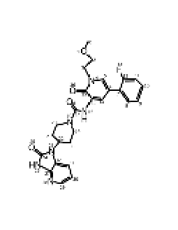 COCCn1cc(-c2ccccc2F)cc(NC(=O)N2CCC(n3c(=O)[nH]c4ncccc43)CC2)c1=O